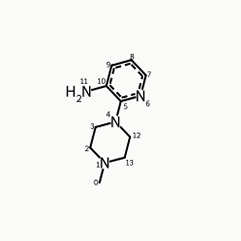 CN1CCN(c2ncccc2N)CC1